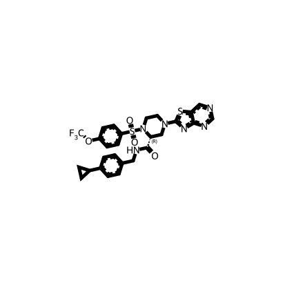 O=C(NCc1ccc(C2CC2)cc1)[C@H]1CN(c2nc3ncncc3s2)CCN1S(=O)(=O)c1ccc(OC(F)(F)F)cc1